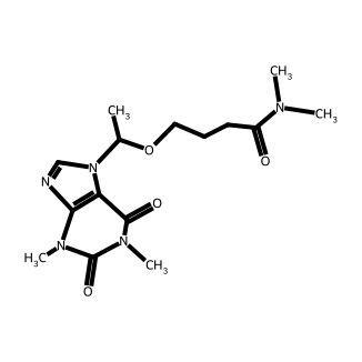 CC(OCCCC(=O)N(C)C)n1cnc2c1c(=O)n(C)c(=O)n2C